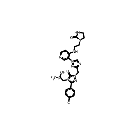 O=C1NCCN1CCNc1ccncc1-n1cnc(Cn2nc(-c3ccc(Cl)cc3)n(C[C@H](O)C(F)(F)F)c2=O)n1